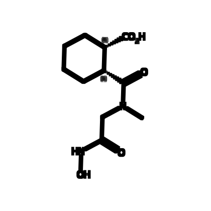 CN(CC(=O)NO)C(=O)[C@@H]1CCCC[C@@H]1C(=O)O